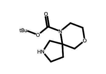 CC(C)(C)OC(=O)N1CCOCC12CCNC2